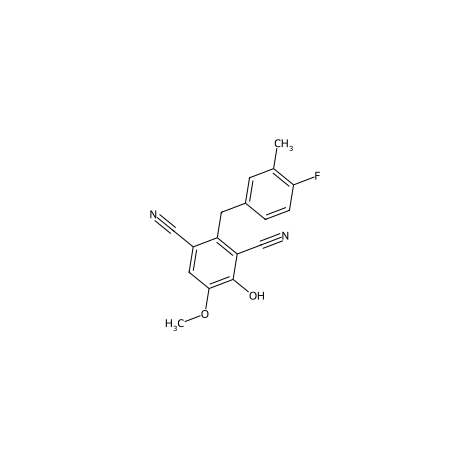 COc1cc(C#N)c(Cc2ccc(F)c(C)c2)c(C#N)c1O